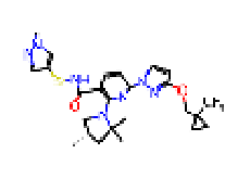 C[C@@H]1CN(c2nc(-n3ccc(OCC4(C(F)(F)F)CC4)n3)ccc2C(=O)NSc2cnn(C)c2)C(C)(C)C1